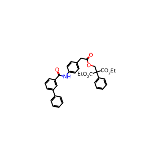 CCOC(=O)C(COC(=O)Cc1ccc(NC(=O)c2cccc(-c3ccccc3)c2)cc1)(C(=O)OCC)c1ccccc1